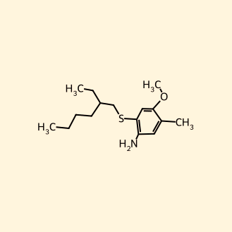 CCCCC(CC)CSc1cc(OC)c(C)cc1N